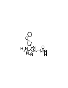 CNC(=O)NCCn1nc(-c2ccc(Oc3ccccc3)cc2)c2c(N)ncnc21